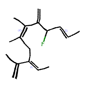 C=C(C)/C(=C/C)C/C(C)=C(/C)C(=C)C(F)/C=C/C